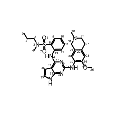 CCCN(C)S(=O)(=O)c1ccccc1Nc1nc(Nc2cc3c(cc2OC)CCN(C)C3)nc2[nH]ccc12